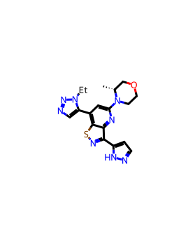 CCn1nncc1-c1cc(N2CCOC[C@H]2C)nc2c(-c3ccn[nH]3)nsc12